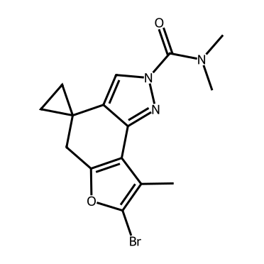 Cc1c(Br)oc2c1-c1nn(C(=O)N(C)C)cc1C1(CC1)C2